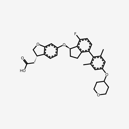 Cc1cc(OC2CCOCC2)cc(C)c1-c1ccc(F)c2c1CC[C@H]2Oc1ccc2c(c1)OC[C@H]2CC(=O)O